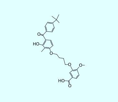 COc1ccc(C(=O)O)cc1OCCCCOc1ccc(C(=O)c2ccc(C(C)(C)C)cc2)c(O)c1C